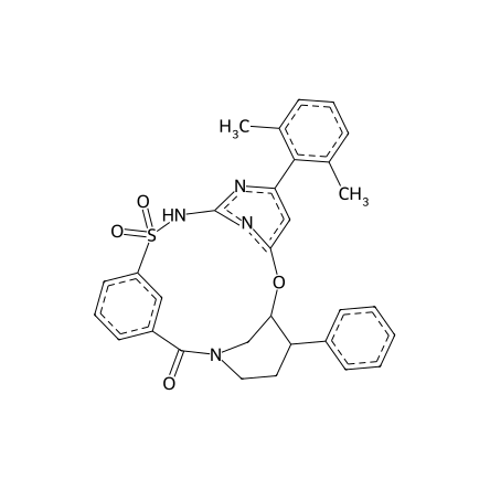 Cc1cccc(C)c1-c1cc2nc(n1)NS(=O)(=O)c1cccc(c1)C(=O)N1CCC(c3ccccc3)C(C1)O2